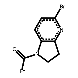 CCC(=O)N1CCc2nc(Br)ccc21